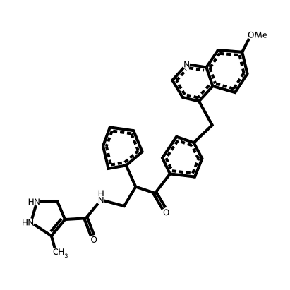 COc1ccc2c(Cc3ccc(C(=O)C(CNC(=O)C4=C(C)NNC4)c4ccccc4)cc3)ccnc2c1